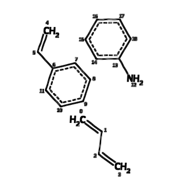 C=CC=C.C=Cc1ccccc1.Nc1ccccc1